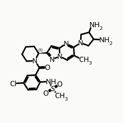 Cc1cn2nc([C@@H]3CCCCN3C(=O)c3cc(Cl)ccc3NS(C)(=O)=O)cc2nc1N1CC(N)C(N)C1